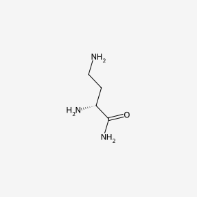 NCC[C@@H](N)C(N)=O